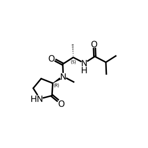 CC(C)C(=O)N[C@@H](C)C(=O)N(C)[C@@H]1CCNC1=O